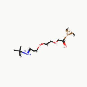 C[SH](C)C(=O)COCCOCCNC(C)(C)C